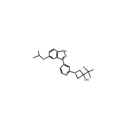 CC(C)Oc1ccc2[nH]nc(-c3ccnc(N4CC(O)(C(F)(F)F)C4)c3)c2c1